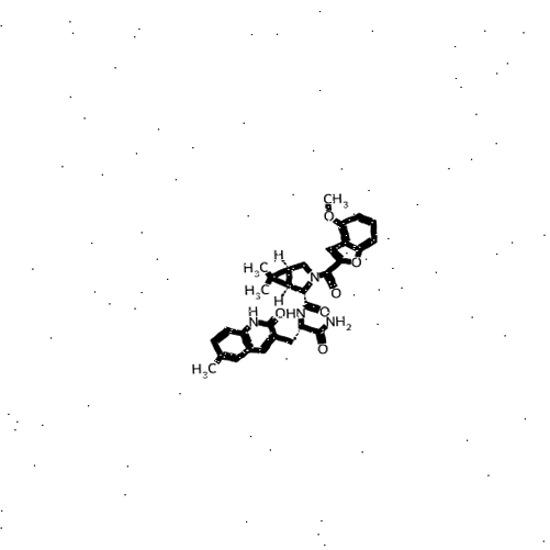 COc1cccc2oc(C(=O)N3C[C@H]4[C@@H]([C@H]3C(=O)N[C@@H](Cc3cc5cc(C)ccc5[nH]c3=O)C(N)=O)C4(C)C)cc12